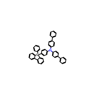 c1ccc(-c2ccc(N(c3ccc(-c4ccccc4)cc3)c3ccc([Si]4(c5ccccc5)c5ccccc5-c5ccccc54)cc3)cc2)cc1